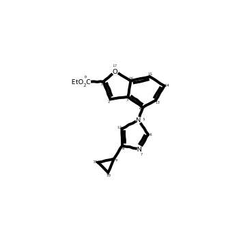 CCOC(=O)c1cc2c(-n3cnc(C4CC4)c3)cccc2o1